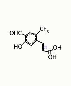 O=Cc1cc(C(F)(F)F)c(/C=C/B(O)O)cc1O